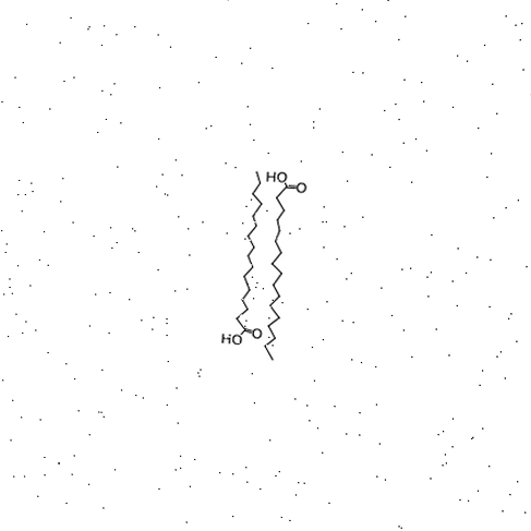 CCCCCCCCCCCCCCCC(=O)O.CCCCCCCCCCCCCCCCC(=O)O